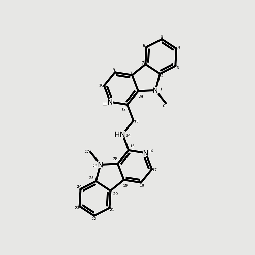 Cn1c2ccccc2c2ccnc(CNc3nccc4c5ccccc5n(C)c34)c21